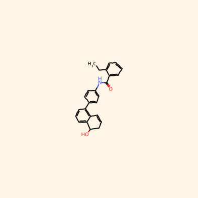 CCc1ccccc1C(=O)Nc1ccc(-c2cccc3c2C=CCC3O)cc1